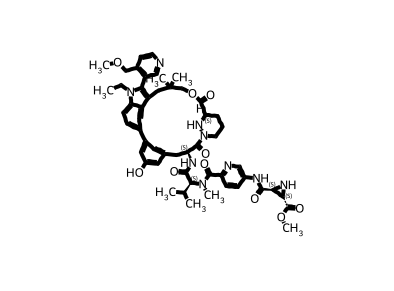 CCn1c(-c2cnccc2COC)c2c3cc(ccc31)-c1cc(O)cc(c1)C[C@H](NC(=O)[C@H](C(C)C)N(C)C(=O)c1ccc(NC(=O)[C@H]3N[C@@H]3C(=O)OC)cn1)C(=O)N1CCC[C@H](N1)C(=O)OCC(C)(C)C2